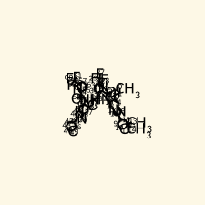 CCOc1cc2nc(C3CCOC(C)(C)C3)cn2cc1NC(=O)c1nc(C(F)(F)F)ccc1CCOc1cc2nc(C3CCCOC3)cn2cc1NC(=O)c1cccc(C(F)(F)F)n1